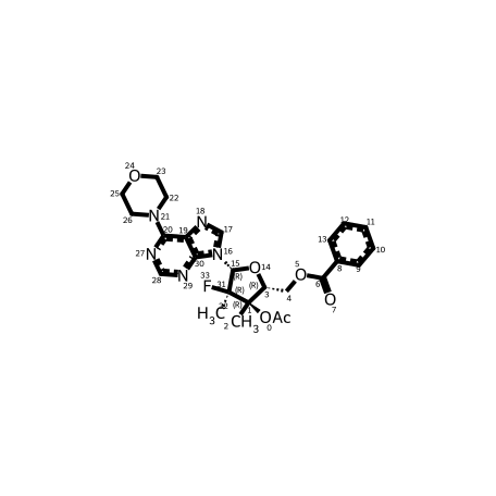 CC(=O)O[C@]1(C)[C@@H](COC(=O)c2ccccc2)O[C@@H](n2cnc3c(N4CCOCC4)ncnc32)[C@]1(C)F